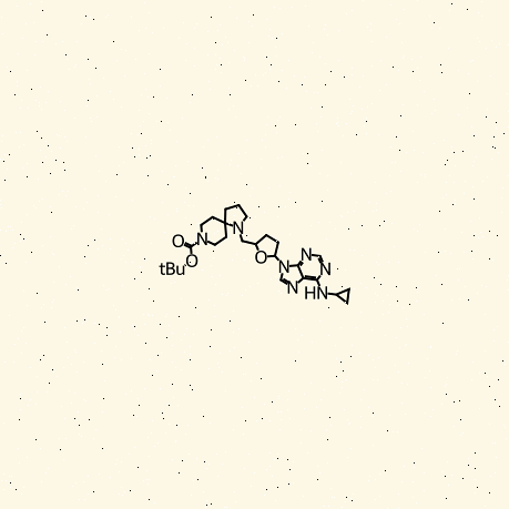 CC(C)(C)OC(=O)N1CCC2(CCCN2CC2CCC(n3cnc4c(NC5CC5)ncnc43)O2)CC1